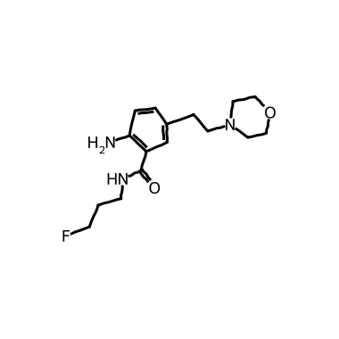 Nc1ccc(CCN2CCOCC2)cc1C(=O)NCCCF